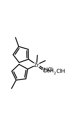 CC1=CC[C]([Zr]([CH3])([CH3])(=[GeH2])[C]2=CC(C)=CC2)=C1.Cl.Cl